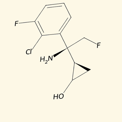 N[C@](CF)(c1cccc(F)c1Cl)[C@H]1CC1O